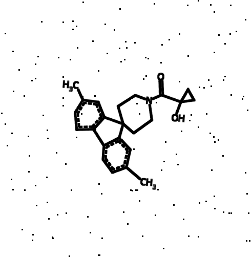 Cc1ccc2c(c1)C1(CCN(C(=O)C3(O)CC3)CC1)c1cc(C)ccc1-2